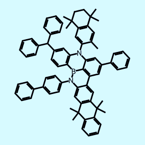 Cc1cc2c(cc1N1c3cc(C(c4ccccc4)c4ccccc4)ccc3B3c4c(cc(-c5ccccc5)cc41)-c1cc4c(cc1N3c1ccc(-c3ccccc3)cc1)C(C)(C)c1ccccc1C4(C)C)C(C)(C)CCC2(C)C